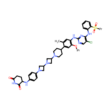 Cc1cc(Nc2ncc(Cl)c(Nc3ccccc3S(=O)(=O)C(C)C)n2)c(OC(C)C)cc1C1CCN(C2CN(C3CN(c4ccc(NC5CCC(=O)NC5=O)cc4)C3)C2)CC1